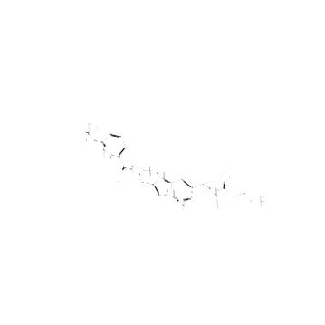 CC(C)Oc1cccc(C(=O)NCc2cn3ncc(CNC(=O)CCC(F)(F)F)cc3n2)n1